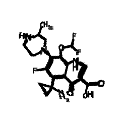 CC1CN(c2c(F)c(C3(N)CC3)c3c(=O)c(C(=O)O)c[nH]c3c2OC(F)F)CCN1